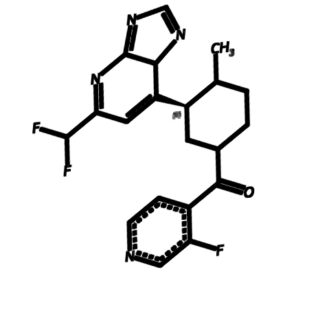 CC1CCC(C(=O)c2ccncc2F)C[C@H]1C1=CC(C(F)F)=NC2=NC=NC12